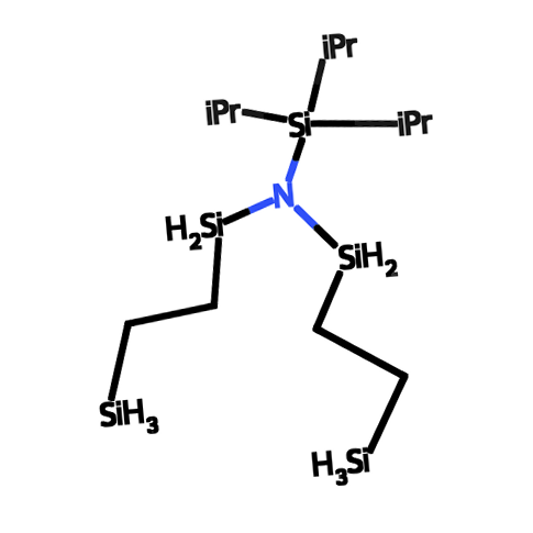 CC(C)[Si](C(C)C)(C(C)C)N([SiH2]CC[SiH3])[SiH2]CC[SiH3]